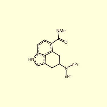 CCCN(CCC)C1Cc2c[nH]c3ccc(C(=O)NC)c(c23)C1